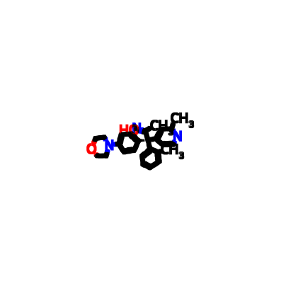 C/C(=N/O)[C@@](c1ccc(N2CCOCC2)cc1)(c1ccnc(C)c1)c1ccccc1C